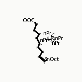 CCCCCCCC/C=C\CCCCCCCC(=O)[O-].CCC[N+](CCC)(CCC)CCC